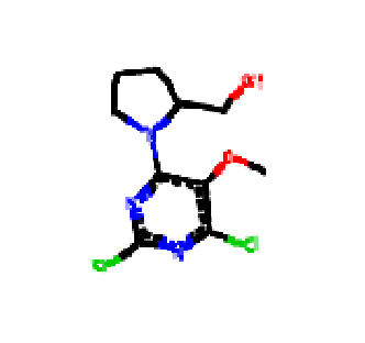 COc1c(Cl)nc(Cl)nc1N1CCCC1CO